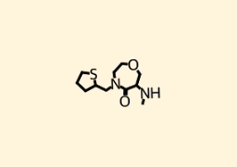 CNC1COCCN(CC2CCCS2)C1=O